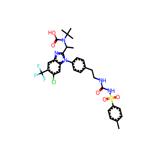 Cc1ccc(S(=O)(=O)NC(=O)NCCc2ccc(-n3c(C(C)N(C(=O)O)C(C)(C)C)nc4cc(C(F)(F)F)c(Cl)cc43)cc2)cc1